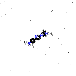 CN(C)c1ccc(-c2ccc(N3C[C@H]4CN(C)[C@H]4C3)cn2)cc1